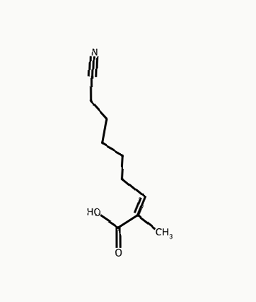 CC(=CCCCCCC#N)C(=O)O